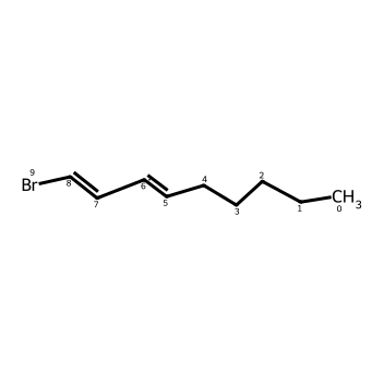 CCCCC/C=[C]/C=CBr